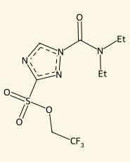 CCN(CC)C(=O)n1cnc(S(=O)(=O)OCC(F)(F)F)n1